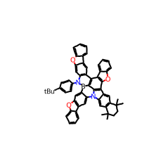 CC(C)(C)c1ccc(N2B3c4cc5oc6ccccc6c5cc4-n4c5cc6c(cc5c5c7oc8ccccc8c7c(c3c54)-c3cc4c(cc32)oc2ccccc24)C(C)(C)CCC6(C)C)cc1